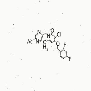 CC(=O)c1cnc(Cn2c(C)cc(OCc3ccc(F)cc3F)c(Cl)c2=O)cn1